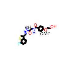 COc1cc(C(=O)NCC(=O)N(C)/N=C/c2csc3c(F)cccc23)ccc1OCCO